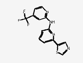 FC(F)(F)c1ccnc(Nc2cccc(-c3cncs3)n2)c1